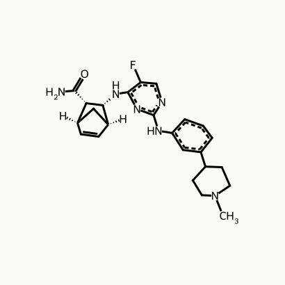 CN1CCC(c2cccc(Nc3ncc(F)c(N[C@H]4[C@@H](C(N)=O)[C@@H]5C=C[C@H]4C5)n3)c2)CC1